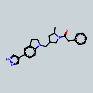 CC1CC(CN2CCc3cc(-c4cn[nH]c4)ccc32)CN1C(=O)Cc1ccccc1